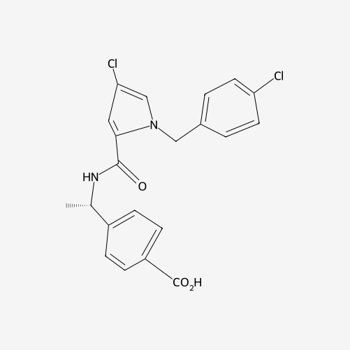 C[C@H](NC(=O)c1cc(Cl)cn1Cc1ccc(Cl)cc1)c1ccc(C(=O)O)cc1